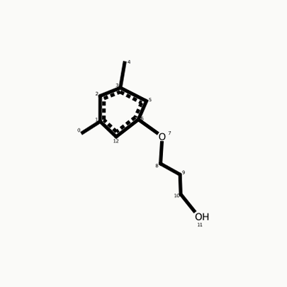 Cc1cc(C)cc(OCCCO)c1